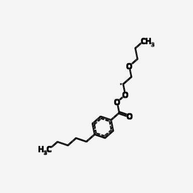 CCCCCc1ccc(C(=O)OO[CH]COCCC)cc1